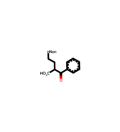 CCCCCCCCCCCC(C(=O)O)C(=O)c1ccccc1